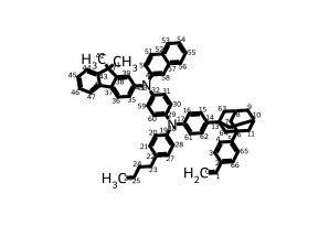 C=Cc1ccc(C23CC4CC(C2)CC(c2ccc(N(c5ccc(CCCC)cc5)c5ccc(N(c6ccc7c(c6)C(C)(C)c6ccccc6-7)c6ccc7ccccc7c6)cc5)cc2)(C4)C3)cc1